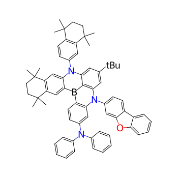 CC(C)(C)c1cc2c3c(c1)N(c1ccc4c(c1)C(C)(C)CCC4(C)C)c1cc4c(cc1B3c1ccc(N(c3ccccc3)c3ccccc3)cc1N2c1ccc2c(c1)oc1ccccc12)C(C)(C)CCC4(C)C